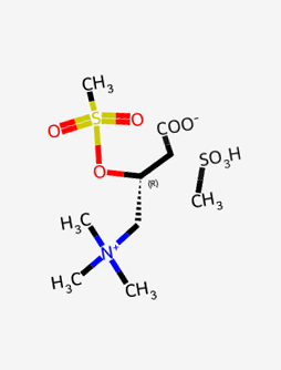 CS(=O)(=O)O.C[N+](C)(C)C[C@@H](CC(=O)[O-])OS(C)(=O)=O